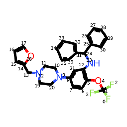 FC(F)(F)Oc1ccc(N2CCN(Cc3ccco3)CC2)cc1NC(c1ccccc1)c1ccccc1